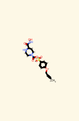 CC#CCOc1ccc(S(=O)(=O)OC(=O)N2CCNC(C(=O)NO)CC2)cc1